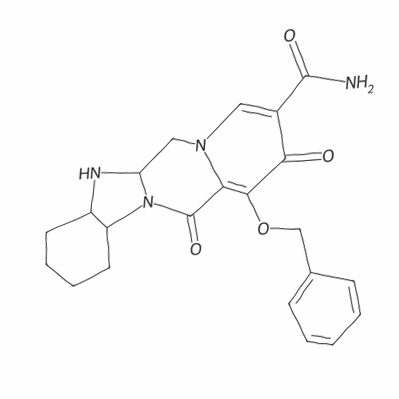 NC(=O)c1cn2c(c(OCc3ccccc3)c1=O)C(=O)N1C(C2)NC2CCCCC21